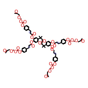 CC1(C)CC2(CC(C)(C)c3cc(OC(=O)/C=C/c4ccc(OC(=O)OCOCC5CO5)cc4)c(OC(=O)/C=C/c4ccc(OC(=O)OCOCC5CO5)cc4)cc3O2)Oc2cc(OC(=O)/C=C/c3ccc(OC(=O)OCOCC4CO4)cc3)c(OOC/C=C/c3ccc(OC(=O)OCOCC4CO4)cc3)cc21